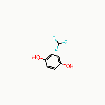 F[C](F)F.Oc1ccc(O)cc1